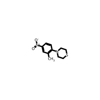 Cc1cc([N+](=O)[O-])ccc1N1CCSCC1